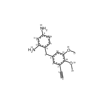 [C]#Cc1cc(Cc2cnc(N)nc2N)cc(OC)c1OC